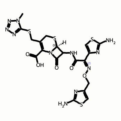 Cn1nnnc1SCC1=C(C(=O)O)N2C(=O)C(NC(=O)/C(=N\OCc3csc(N)n3)c3csc(N)n3)[C@@H]2SC1